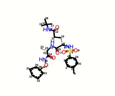 Cc1ccc(S(=O)(=O)N[C@@H](CCC(=O)NC(C)(C)C)C(=O)N[C@@H](C)C(=O)NOc2ccccc2)cc1